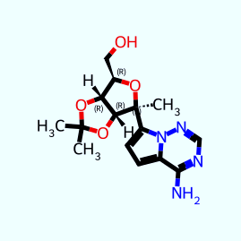 CC1(C)O[C@H]2[C@@H](O1)[C@](C)(c1ccc3c(N)ncnn13)O[C@@H]2CO